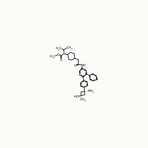 COC(=O)N(C(C)C)C1CCC(CC(=O)Nc2cnc(-c3ccc([C@]4(N)C[C@](C)(O)C4)cc3)c(-c3ccccc3)c2)CC1